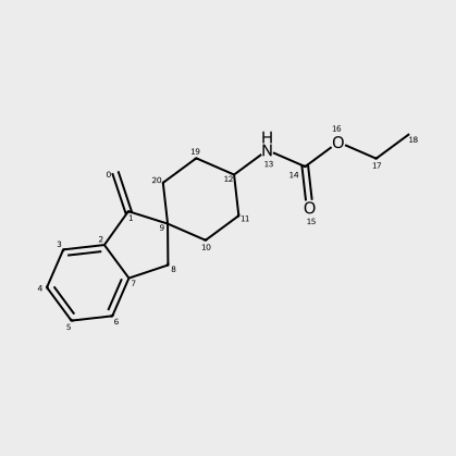 C=C1c2ccccc2CC12CCC(NC(=O)OCC)CC2